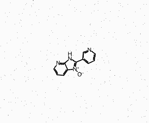 [O-][n+]1c(-c2cccnc2)[nH]c2ncccc21